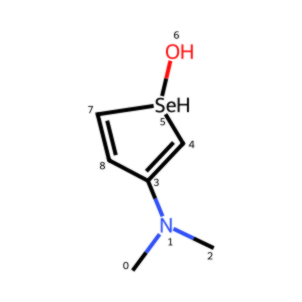 CN(C)C1=C[SeH](O)C=C1